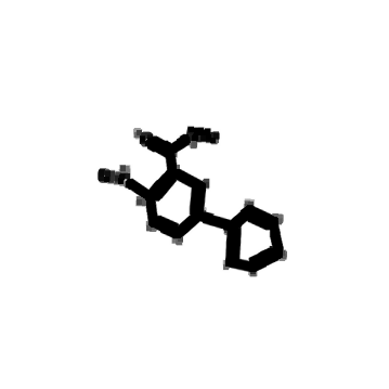 CNC(=O)c1cc(-c2ccccc2)ccc1C=O